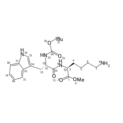 COC(=O)[C@H](CCCCN)NC(=O)[C@H](Cc1c[nH]c2ccccc12)NC(=O)OC(C)(C)C